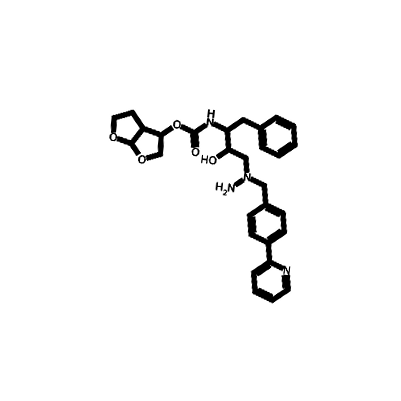 NN(Cc1ccc(-c2ccccn2)cc1)CC(O)C(Cc1ccccc1)NC(=O)OC1COC2OCCC12